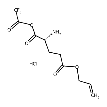 C=CCOC(=O)CC[C@@H](N)C(=O)OC(=O)C(F)(F)F.Cl